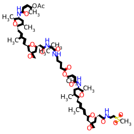 CC(=O)O[C@@H](C)/C=C\C(=O)N[C@@H]1C[C@H](C)[C@H](C/C=C(C)/C=C/[C@@H]2C[C@]3(CO3)C[C@@H](CC(=O)NC(C)(C)C(=O)NCCCCC(=O)O[C@@H](C)/C=C\C(=O)N[C@@H]3C[C@H](C)[C@H](C/C=C(C)/C=C/[C@@H]4C[C@]5(CO5)C[C@@H](CC(=O)NCCS(C)(=O)=O)O4)O[C@@H]3C)O2)O[C@@H]1C